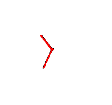 CCCCCCCCCCCCCCCCCCCCCCCCCCCCCc1[c]cccc1CCCCCCCCCCCCCCCCCCCCCCCCCCCCC